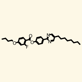 CCCCCCCCc1cnc(-c2ccc(OC(=O)c3ccc(OCCCC)cc3F)cc2)nc1